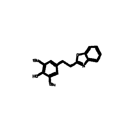 CC(C)(C)c1cc(CCc2nc3ccccc3o2)cc(C(C)(C)C)c1O